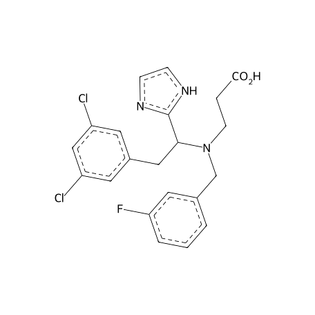 O=C(O)CCN(Cc1cccc(F)c1)C(Cc1cc(Cl)cc(Cl)c1)c1ncc[nH]1